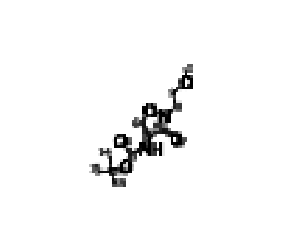 COCCN1OC[C@H](NC(=O)OC(C)(C)C)C1=O